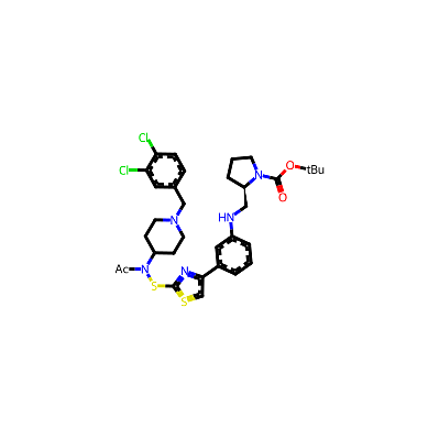 CC(=O)N(Sc1nc(-c2cccc(NC[C@H]3CCCN3C(=O)OC(C)(C)C)c2)cs1)C1CCN(Cc2ccc(Cl)c(Cl)c2)CC1